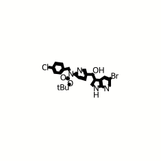 CC(C)(C)OC(=O)N(Cc1ccc(Cl)cc1)c1ccc(C(O)C2CNc3ncc(Br)cc32)cn1